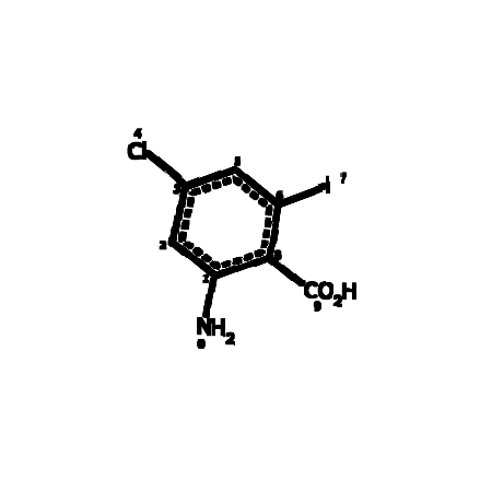 Nc1cc(Cl)cc(I)c1C(=O)O